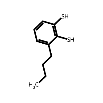 CCCCc1cccc(S)c1S